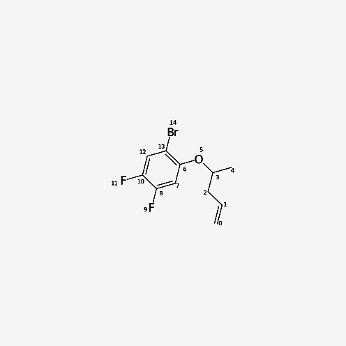 C=CCC(C)Oc1cc(F)c(F)cc1Br